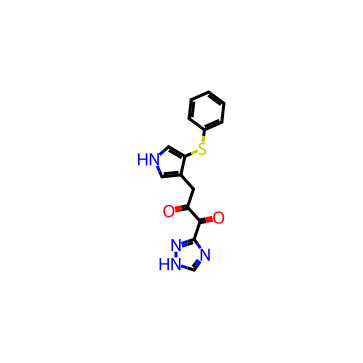 O=C(Cc1c[nH]cc1Sc1ccccc1)C(=O)c1nc[nH]n1